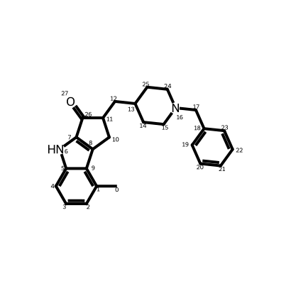 Cc1cccc2[nH]c3c(c12)CC(CC1CCN(Cc2ccccc2)CC1)C3=O